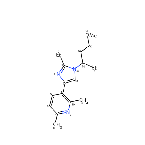 CCc1nc(-c2ccc(C)nc2C)cn1C(CC)CCOC